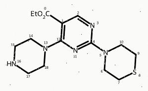 CCOC(=O)c1cnc(N2CCSCC2)nc1N1CCNCC1